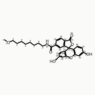 COCCCCCCCCNC(=O)c1ccc2c(c1)C1(OC2=O)c2ccc(O)cc2Oc2cc(O)ccc21